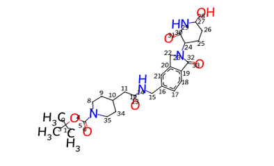 CC(C)(C)OC(=O)N1CCC(CC(=O)NCc2ccc3c(c2)CN(C2CCC(O)NC2=O)C3=O)CC1